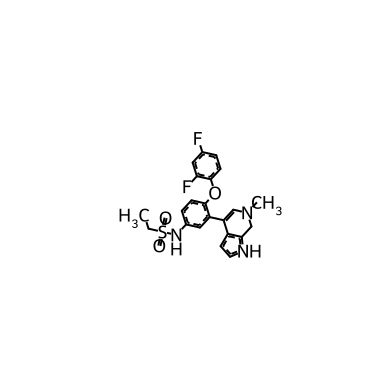 CCS(=O)(=O)Nc1ccc(Oc2ccc(F)cc2F)c(C2=CN(C)Cc3[nH]ccc32)c1